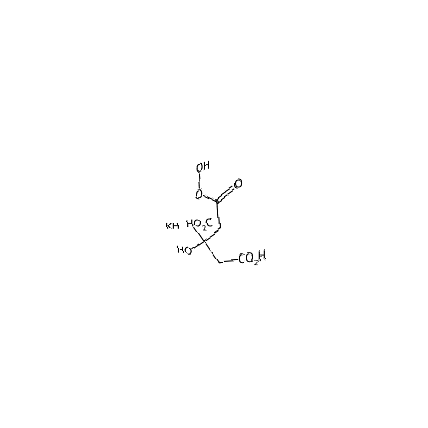 O=C(O)CC(O)(CC(=O)OO)C(=O)O.[KH]